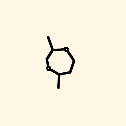 CC1CCOC(C)CO1